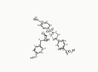 CCCc1ccc(CNC(=O)[C@H]2CN(c3cnc(C(=O)O)cn3)CCN2S(=O)(=O)c2ccc(C(C)(C)C)cc2)cc1